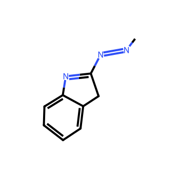 CN=NC1=Nc2ccccc2C1